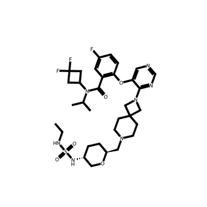 CCNS(=O)(=O)N[C@@H]1CC[C@@H](CN2CCC3(CC2)CN(c2ncncc2Oc2ccc(F)cc2C(=O)N(C(C)C)C2CC(F)(F)C2)C3)OC1